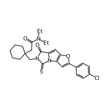 CCN(CC)C(=O)CC1(CN2C(=O)c3cc4oc(-c5ccc(Cl)cc5)cc4n3C2=S)CCCCC1